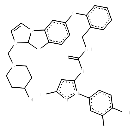 CC(C)(C)c1cc(NC(=O)NCc2ccccc2Oc2ccc3c(c2)N2C=CN(CN4CCC(O)CC4)C2S3)n(-c2ccc(O)c(Cl)c2)n1